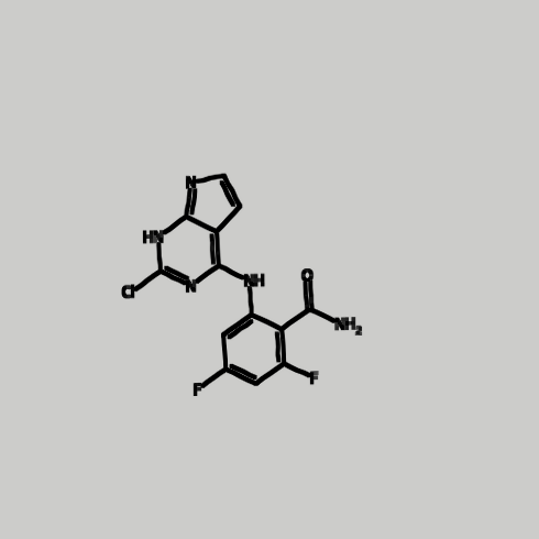 NC(=O)c1c(F)cc(F)cc1Nc1nc(Cl)[nH]c2nccc1-2